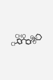 O=CC(c1ccc(Cl)cc1)c1cccc(S(=O)(=O)N2CCCCCC2)c1